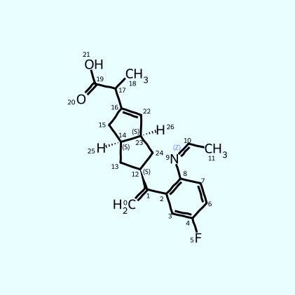 C=C(c1cc(F)ccc1/N=C\C)[C@H]1C[C@H]2CC(C(C)C(=O)O)=C[C@H]2C1